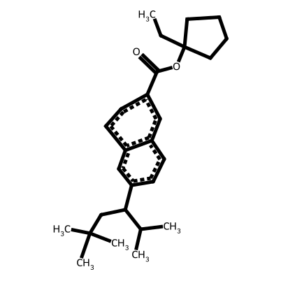 CCC1(OC(=O)c2ccc3cc(C(CC(C)(C)C)C(C)C)ccc3c2)CCCC1